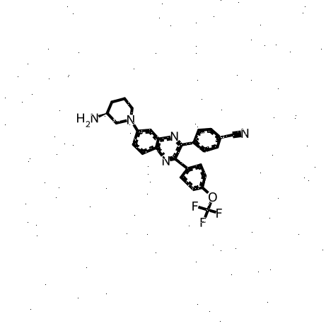 N#Cc1ccc(-c2nc3cc(N4CCC[C@H](N)C4)ccc3nc2-c2ccc(OC(F)(F)F)cc2)cc1